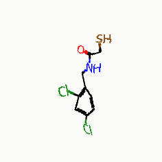 O=C(CS)NCc1ccc(Cl)cc1Cl